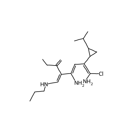 C=C(CC)C(=C\NCCC)/C(N)=C/C(=C(\N)Cl)C1CC1C(C)C